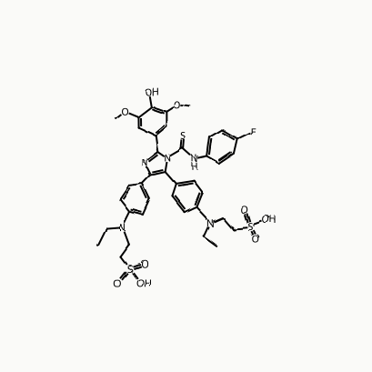 CCN(CCS(=O)(=O)O)c1ccc(-c2nc(-c3cc(OC)c(O)c(OC)c3)n(C(=S)Nc3ccc(F)cc3)c2-c2ccc(N(CC)CCS(=O)(=O)O)cc2)cc1